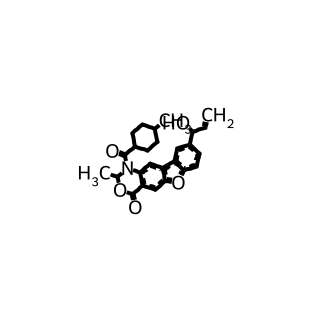 C=CC(O)c1ccc2oc3cc4c(cc3c2c1)N(C(=O)C1CCC(C)CC1)C(C)OC4=O